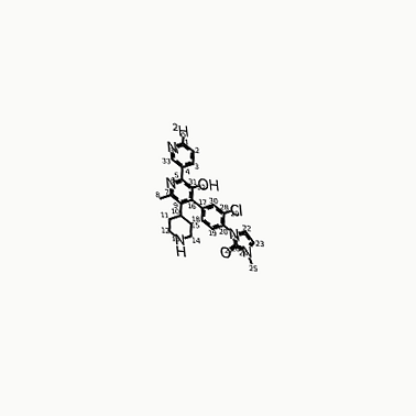 [2H]c1ccc(-c2nc(C)c(C3CCNCC3)c(-c3ccc(-n4ccn(C)c4=O)c(Cl)c3)c2O)cn1